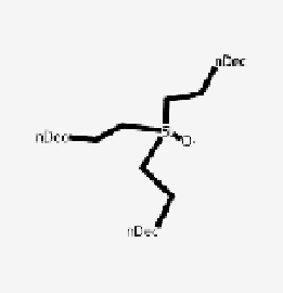 CCCCCCCCCCCC[Si]([O])(CCCCCCCCCCCC)CCCCCCCCCCCC